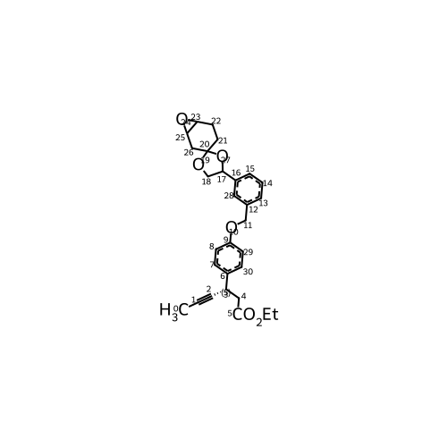 CC#C[C@@H](CC(=O)OCC)c1ccc(OCc2cccc(C3COC4(CCC5OC5C4)O3)c2)cc1